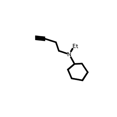 C#CCCN(CC)C1CCCCC1